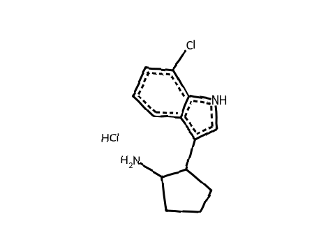 Cl.NC1CCCC1c1c[nH]c2c(Cl)cccc12